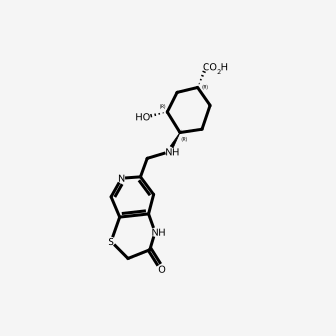 O=C1CSc2cnc(CN[C@@H]3CC[C@@H](C(=O)O)C[C@H]3O)cc2N1